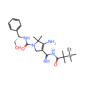 CC[Si](C)(C)C(C)(C)C(=O)NC(=N)C1=C(N)C(C)(C)N(C(=O)N[C@H](CO)c2ccccc2)C1